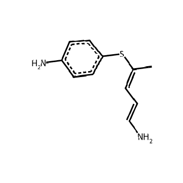 CC(=CC=CN)Sc1ccc(N)cc1